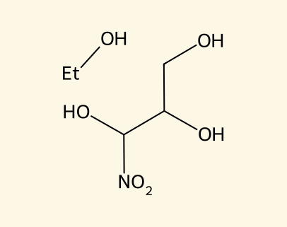 CCO.O=[N+]([O-])C(O)C(O)CO